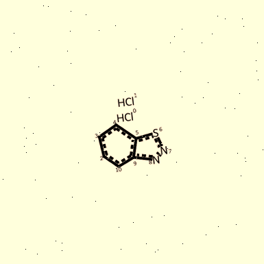 Cl.Cl.c1ccc2snnc2c1